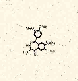 CCC1c2cc(OC)c(OC)cc2C(c2ccc(OC)c(OC)c2)=NNC1C.Cl